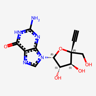 C#C[C@]1(CO)O[C@@H](n2cnc3c(=O)[nH]c(N)nc32)[C@@H](O)[C@@H]1O